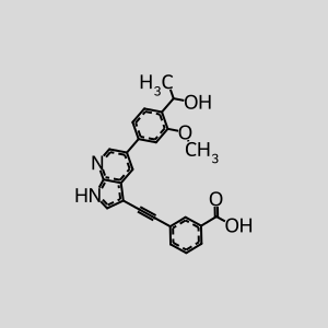 COc1cc(-c2cnc3[nH]cc(C#Cc4cccc(C(=O)O)c4)c3c2)ccc1C(C)O